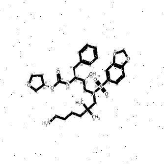 CC(C)(CCCCN)CN(C[C@@H](O)[C@H](Cc1ccccc1)NC(=O)O[C@H]1CCOC1)S(=O)(=O)c1ccc2c(c1)OCO2